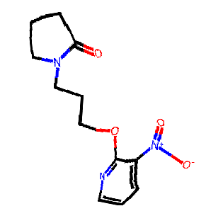 O=C1CCCN1CCCOc1ncccc1[N+](=O)[O-]